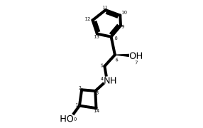 OC1CC(NC[C@H](O)c2ccccc2)C1